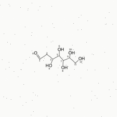 O=CCC(O)C(O)C(O)C(O)CO